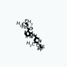 Cc1cc(Cn2cc3c(C(=O)NCC(C)C)nccc3n2)cnc1OCC(F)(F)F